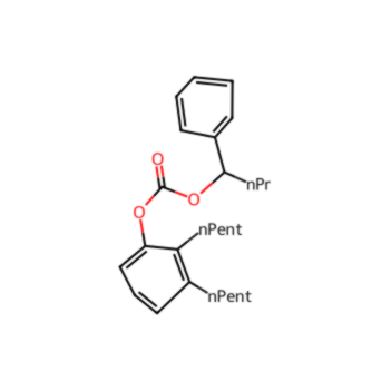 CCCCCc1cccc(OC(=O)OC(CCC)c2ccccc2)c1CCCCC